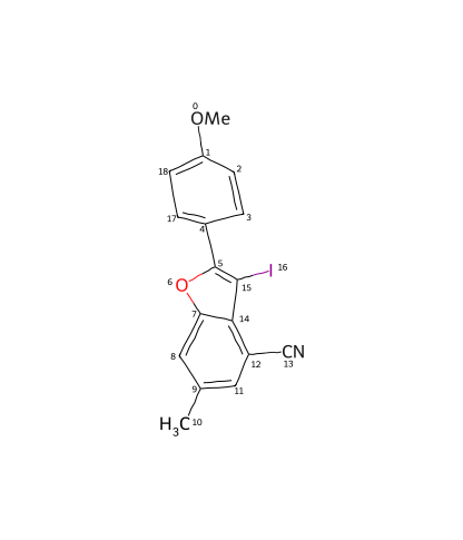 COc1ccc(-c2oc3cc(C)cc(C#N)c3c2I)cc1